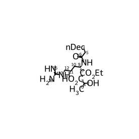 CC(O)C(=O)O.CCCCCCCCCCCC(=O)N[C@@H](CCCNC(=N)N)C(=O)OCC